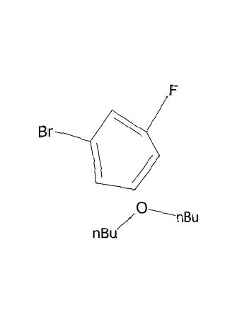 CCCCOCCCC.Fc1cccc(Br)c1